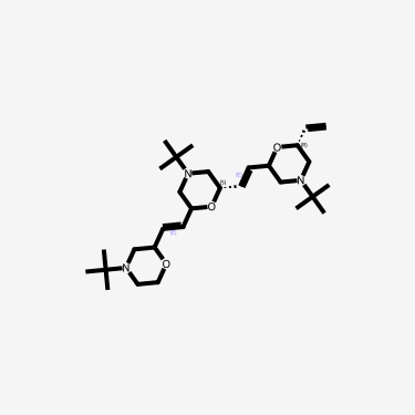 C=C[C@@H]1CN(C(C)(C)C)CC(/C=C/[C@H]2CN(C(C)(C)C)CC(/C=C/C3CN(C(C)(C)C)CCO3)O2)O1